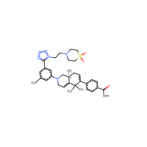 COC(=O)c1ccc(C2=CC[C@]3(C)CN(c4cc(-c5nnnn5CCN5CCS(=O)(=O)CC5)cc([N+](=O)[O-])c4)CC=C3C2(C)C)cc1